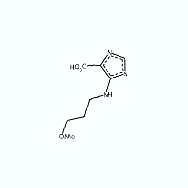 COCCCNc1scnc1C(=O)O